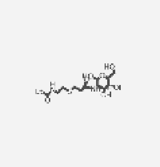 CCC(=O)NCCSCCC(=O)N[C@@H]1C(O)OC(CO)[C@@H](O)C1O